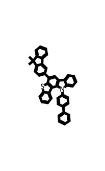 CC1(C)c2ccccc2-c2cc(-c3cc4c5ccccc5n(-c5ccc(-c6ccccc6)cc5)c4c4c3sc3ccccc34)ccc21